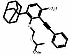 COC(C)OCOc1c(C23CC4CC(CC(C4)C2)C3)ccc(C(=O)O)c1C#Cc1ccccc1